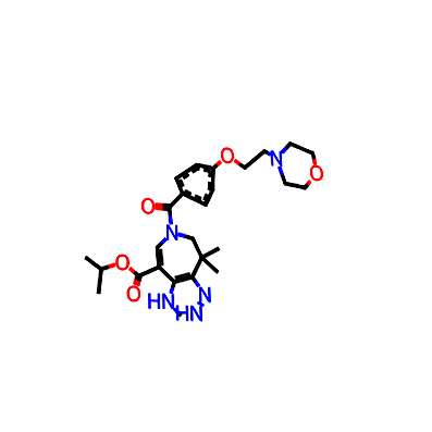 CNC1=C(N=N)C(C)(C)CN(C(=O)c2ccc(OCCN3CCOCC3)cc2)C=C1C(=O)OC(C)C